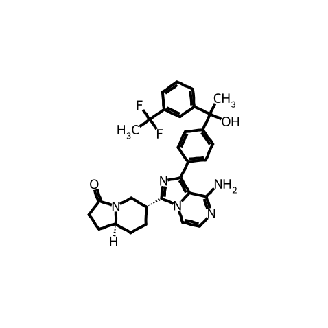 CC(F)(F)c1cccc(C(C)(O)c2ccc(-c3nc([C@@H]4CC[C@H]5CCC(=O)N5C4)n4ccnc(N)c34)cc2)c1